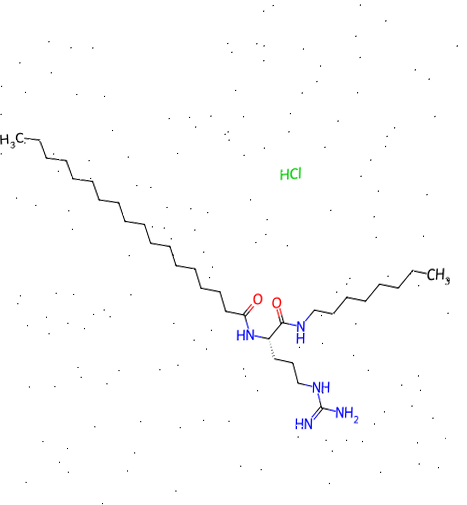 CCCCCCCCCCCCCCCCCC(=O)N[C@@H](CCCNC(=N)N)C(=O)NCCCCCCCC.Cl